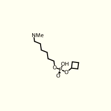 CNCCCCCCOP(=O)(O)OC1CCC1